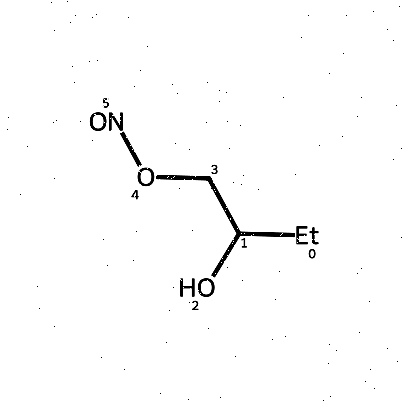 CCC(O)CON=O